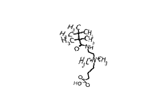 CC(C)(C)C(C)(C)C(=O)NCC[N+](C)(C)CCCS(=O)(=O)O